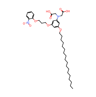 CCCCCCCCCCCCCCCCCCOc1cc(OCCCOc2ccccc2[N+](=O)[O-])cc(N(CC(=O)O)CC(=O)O)c1